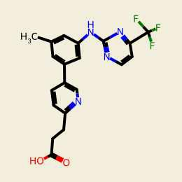 Cc1cc(Nc2nccc(C(F)(F)F)n2)cc(-c2ccc(CCC(=O)O)nc2)c1